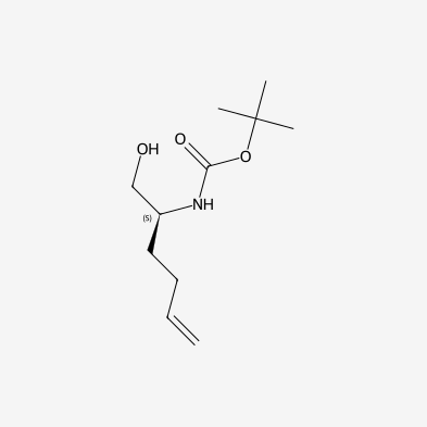 C=CCC[C@@H](CO)NC(=O)OC(C)(C)C